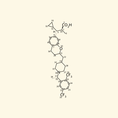 C[C@H](C(=O)O)[C@H](c1ccc2c(c1)OC(CC1CCN([C@@H](C)c3cc(C(F)(F)F)ccc3C(F)(F)F)CC1)CC2)C1CC1